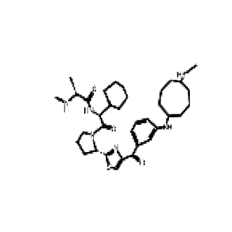 CBC1CCCC(Bc2cccc(C(=O)c3csc([C@@H]4CCCN4C(=O)[C@@H](NC(=O)[C@H](C)NC)C4CCCCC4)n3)c2)CCC1